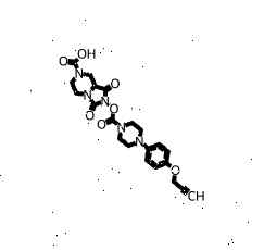 C#CCOc1ccc(N2CCN(C(=O)ON3C(=O)C4CN(C(=O)O)CCN4C3=O)CC2)cc1